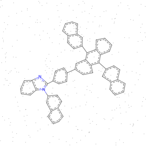 c1ccc2cc(-c3c4ccccc4c(-c4ccc5ccccc5c4)c4cc(-c5ccc(-c6nc7ccccc7n6-c6ccc7ccccc7c6)cc5)ccc34)ccc2c1